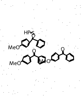 COc1ccc(C(=O)c2ccccc2)cc1.COc1ccc(C(=O)c2ccccc2)cc1.COc1ccc(C(=O)c2ccccc2)cc1.P=S